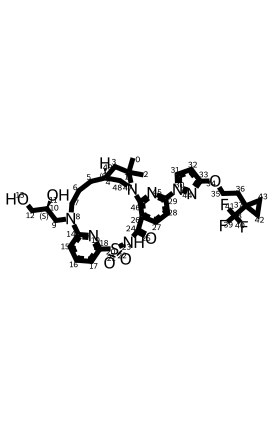 CC1(C)C[C@@H]2CCCN(C[C@H](O)CO)c3cccc(n3)S(=O)(=O)NC(=O)c3ccc(-n4ccc(OCCC5(C(F)(F)F)CC5)n4)nc3N1C2